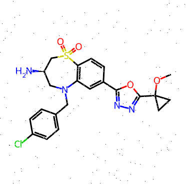 COC1(c2nnc(-c3ccc4c(c3)N(Cc3ccc(Cl)cc3)C[C@@H](N)CS4(=O)=O)o2)CC1